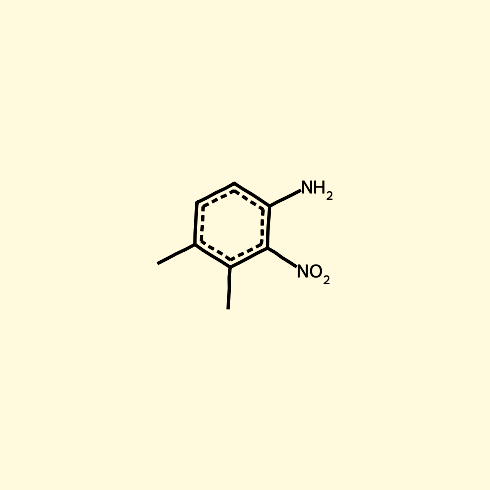 Cc1ccc(N)c([N+](=O)[O-])c1C